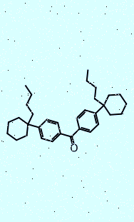 CCCCC1(c2ccc(C(=O)c3ccc(C4(CCCC)CCCCC4)cc3)cc2)CCCCC1